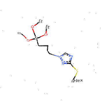 CCCCCCSc1ncn(CCC[Si](OCC)(OCC)OCC)n1